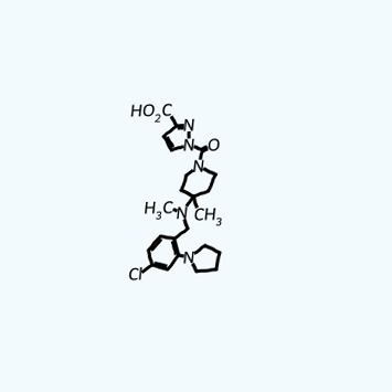 CN(Cc1ccc(Cl)cc1N1CCCC1)C1(C)CCN(C(=O)n2ccc(C(=O)O)n2)CC1